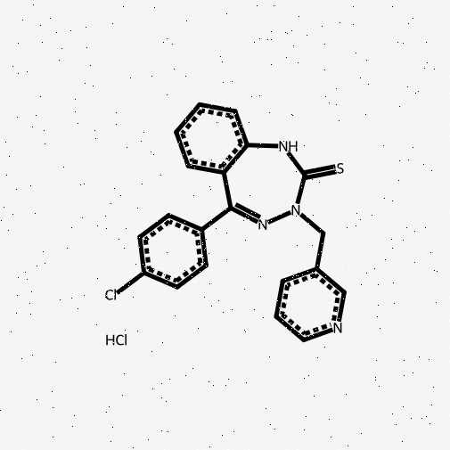 Cl.S=C1Nc2ccccc2C(c2ccc(Cl)cc2)=NN1Cc1cccnc1